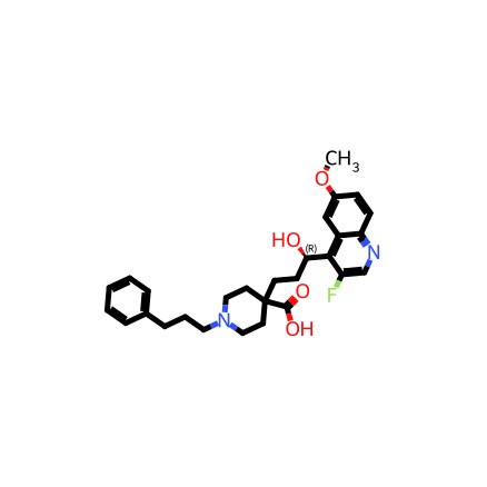 COc1ccc2ncc(F)c([C@H](O)CCC3(C(=O)O)CCN(CCCc4ccccc4)CC3)c2c1